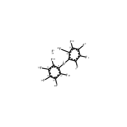 Fc1c(F)c(F)c([B+]c2c(F)c(F)c(F)c(F)c2F)c(F)c1F.[F-]